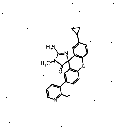 CN1C(=O)C2(N=C1N)c1cc(-c3cccnc3F)ccc1Oc1ccc(C3CC3)cc12